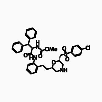 COC(=O)NC(C(=O)Nc1ccccc1CC[C@@H]1CNC[C@@H](CS(=O)(=O)c2ccc(Cl)cc2)O1)C(c1ccccc1)c1ccccc1